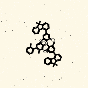 Cc1ccccc1-c1cc(O)c(N2c3c(C)cc(-c4cccc5c4-c4ccccc4C5(C)C)cc3COc3cc(-c4cccc5c4-c4ccccc4C5(C)C)cc(C)c32)c(O)c1C